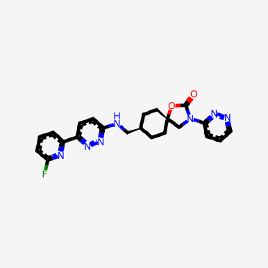 O=C1O[C@]2(CC[C@H](CNc3ccc(-c4cccc(F)n4)nn3)CC2)CN1c1cccnn1